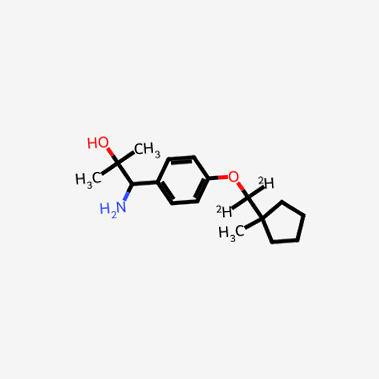 [2H]C([2H])(Oc1ccc(C(N)C(C)(C)O)cc1)C1(C)CCCC1